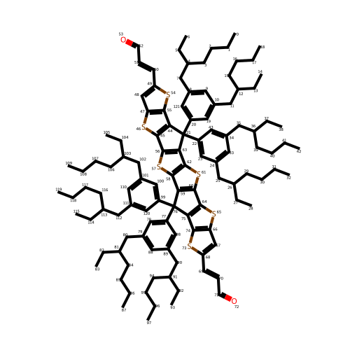 CCCCC(CC)Cc1cc(CC(CC)CCCC)cc(C2(c3cc(CC(CC)CCCC)cc(CC(CC)CCCC)c3)c3c(sc4cc(/C=C/C=O)sc34)-c3sc4c5c(sc4c32)-c2sc3cc(/C=C/C=O)sc3c2C5(c2cc(CC(CC)CCCC)cc(CC(CC)CCCC)c2)c2cc(CC(CC)CCCC)cc(CC(CC)CCCC)c2)c1